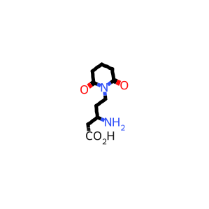 NC(CCN1C(=O)CCCC1=O)CC(=O)O